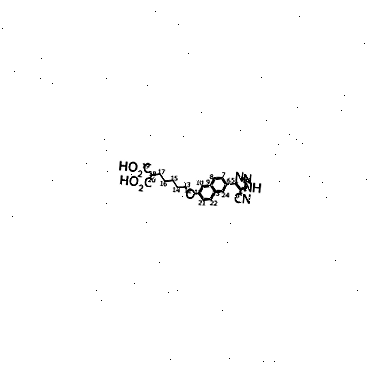 N#Cc1[nH]nnc1-c1ccc2cc(OCCCCCC(C(=O)O)C(=O)O)ccc2c1